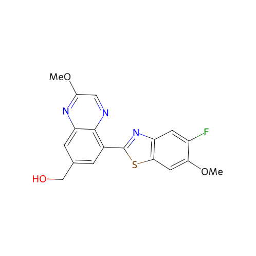 COc1cnc2c(-c3nc4cc(F)c(OC)cc4s3)cc(CO)cc2n1